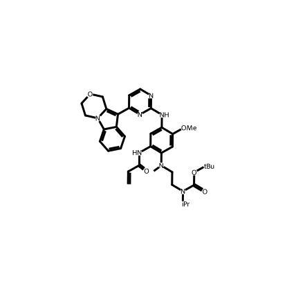 C=CC(=O)Nc1cc(Nc2nccc(-c3c4n(c5ccccc35)CCOC4)n2)c(OC)cc1N(C)CCN(C(=O)OC(C)(C)C)C(C)C